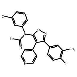 CCC(=O)N(c1cccc(Cl)c1)c1onc(-c2ccc(F)c(C)c2)c1-c1ccncc1